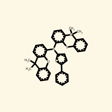 CC1(C)c2ccccc2Oc2c(N(c3ccc(-c4ccccc4)s3)c3cccc4c3Sc3ccccc3[Si]4(C)C)cccc21